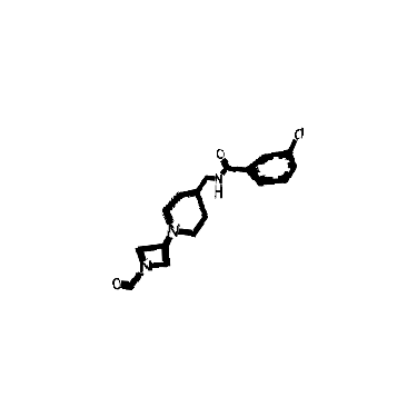 O=CN1CC(N2CCC(CNC(=O)c3cccc(Cl)c3)CC2)C1